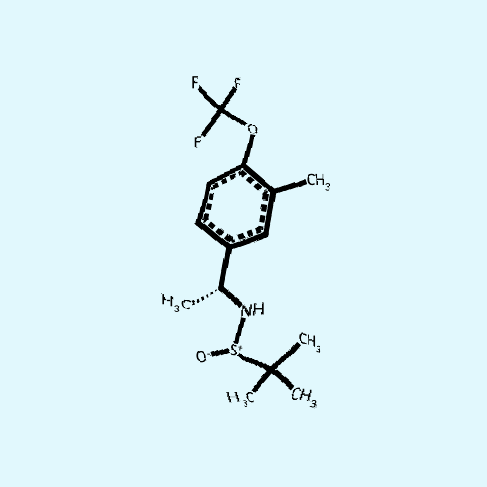 Cc1cc([C@@H](C)N[S+]([O-])C(C)(C)C)ccc1OC(F)(F)F